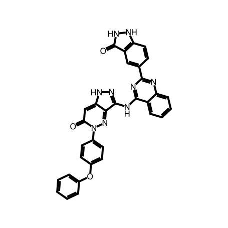 O=c1[nH][nH]c2ccc(-c3nc(Nc4n[nH]c5cc(=O)n(-c6ccc(Oc7ccccc7)cc6)nc45)c4ccccc4n3)cc12